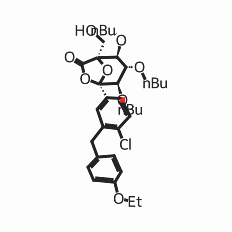 CCCCO[C@@H]1[C@@H](OCCCC)[C@@]2(c3ccc(Cl)c(Cc4ccc(OCC)cc4)c3)OC(=O)[C@](CO)(O2)[C@H]1OCCCC